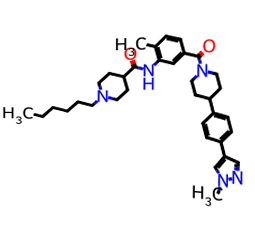 CCCCCCN1CCC(C(=O)Nc2cc(C(=O)N3CCC(c4ccc(-c5cnn(C)c5)cc4)CC3)ccc2C)CC1